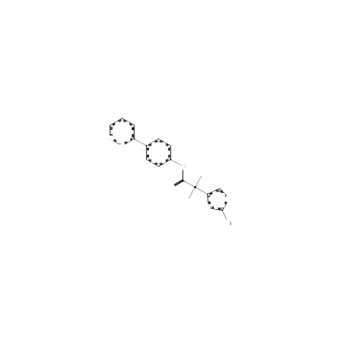 CC(C)(C(=O)Nc1ccc(-c2cccnn2)cc1)c1csc(N)n1